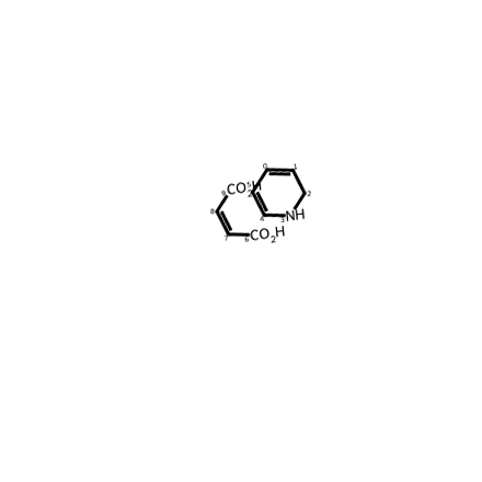 C1=CCNC=C1.O=C(O)/C=C\C(=O)O